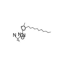 CCCCCCCCCCCc1cc(-c2noc(C3(C#N)CC3)n2)ccc1C